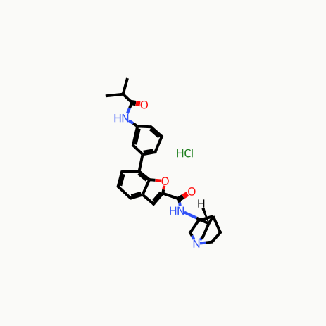 CC(C)C(=O)Nc1cccc(-c2cccc3cc(C(=O)N[C@H]4CN5CCC4CC5)oc23)c1.Cl